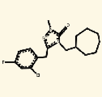 Cn1nc(Cc2ccc(F)cc2Cl)n(CC2CCCCCC2)c1=O